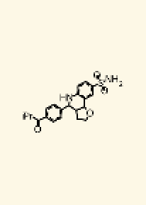 CC(C)C(=O)c1ccc(C2Nc3ccc(S(N)(=O)=O)cc3C3OCCC23)cc1